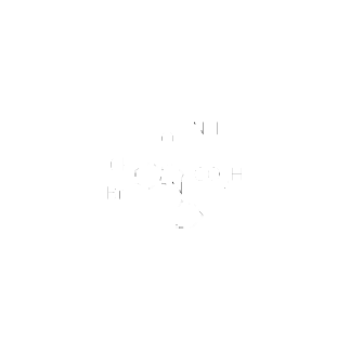 O=C(O)c1c(C2CNCCO2)c2cc(Cl)c(Br)cc2n1-c1ccccc1